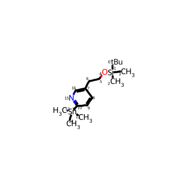 CC(C)(C)[Si](C)(C)OCCc1cc[c]([Sn]([CH3])([CH3])[CH3])nc1